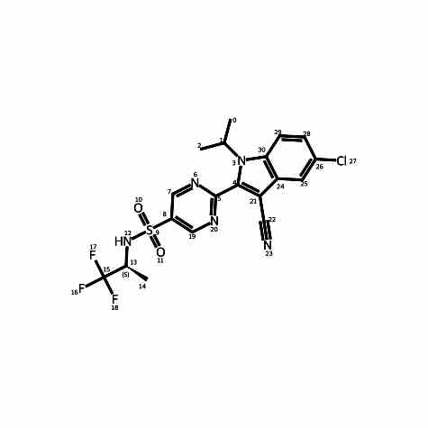 CC(C)n1c(-c2ncc(S(=O)(=O)N[C@@H](C)C(F)(F)F)cn2)c(C#N)c2cc(Cl)ccc21